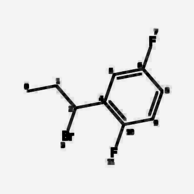 CCC(Br)c1cc(F)ccc1F